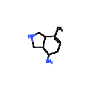 CC1=CCC(N)C2CNCC12